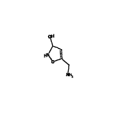 NCC1=CC(O)NO1